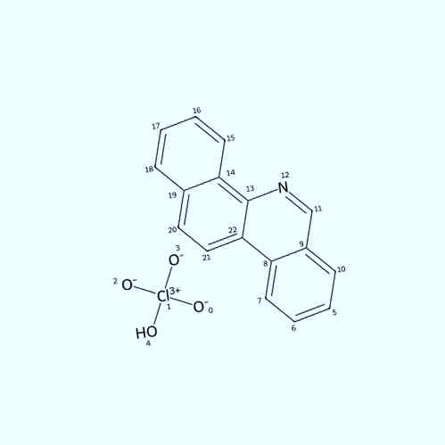 [O-][Cl+3]([O-])([O-])O.c1ccc2c(c1)cnc1c3ccccc3ccc21